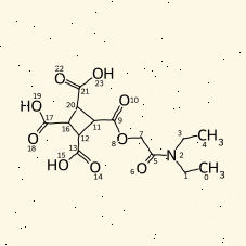 CCN(CC)C(=O)COC(=O)C1C(C(=O)O)C(C(=O)O)C1C(=O)O